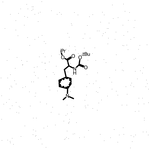 CC(C)OC(=O)C(Cc1ccc(N(C)C)cc1)NC(=O)OC(C)(C)C